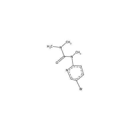 CN(C)C(=O)N(C)c1ccc(Br)cn1